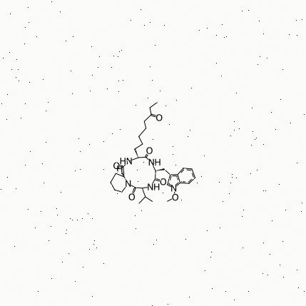 CCC(=O)CCCCC[C@@H]1NC(=O)[C@H]2CCCCN2C(=O)C(C(C)C)NC(=O)[C@H](Cc2cn(OC)c3ccccc23)NC1=O